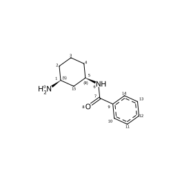 N[C@H]1CCC[C@@H](NC(=O)c2ccccc2)C1